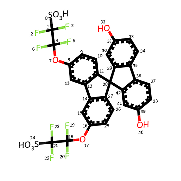 O=S(=O)(O)C(F)(F)C(F)(F)Oc1ccc2c(c1)-c1cc(OC(F)(F)C(F)(F)S(=O)(=O)O)ccc1C21c2cc(O)ccc2-c2ccc(O)cc21